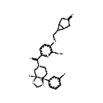 COc1nc(C(=O)N2CC[C@]3(c4cccc(F)c4)OCO[C@@H]3C2)ccc1OCC1C2CC(=O)CC12